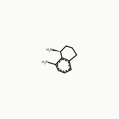 N[C@H]1CCCc2cccc(P)c21